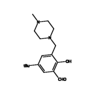 CN1CCN(Cc2cc(C(C)(C)C)cc(C=O)c2O)CC1